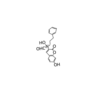 O=C[N+](O)(CCCc1ccccc1)c1cc2ccc(O)cc2oc1=O